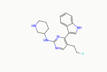 FCCc1cnc(NC2CCCNC2)nc1-c1c[nH]c2ccccc12